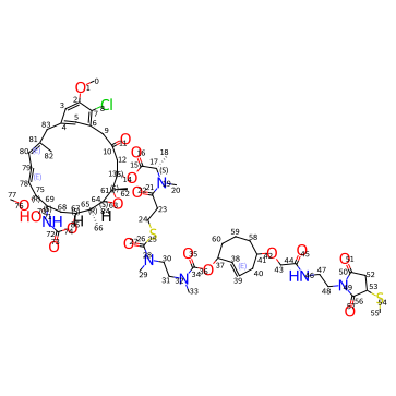 COc1cc2cc(c1Cl)CC(=O)C[C@H](OC(=O)[C@H](C)N(C)C(=O)CCSC(=O)N(C)CCN(C)C(=O)OC1/C=C/CC(OCC(=O)NCCN3C(=O)CC(SC)C3=O)CCC1)[C@]1(C)O[C@H]1[C@H](C)[C@@H]1C[C@@](O)(NC(=O)O1)[C@H](OC)/C=C/C=C(\C)C2